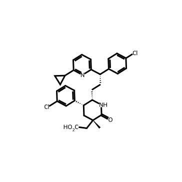 C[C@@]1(CC(=O)O)C[C@H](c2cccc(Cl)c2)[C@H](CC[C@@H](c2ccc(Cl)cc2)c2cccc(C3CC3)n2)NC1=O